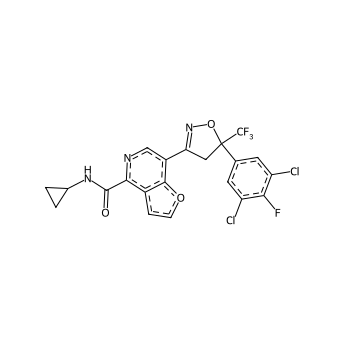 O=C(NC1CC1)c1ncc(C2=NOC(c3cc(Cl)c(F)c(Cl)c3)(C(F)(F)F)C2)c2occc12